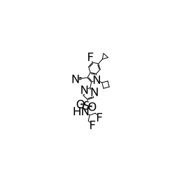 N#Cc1c(-c2ncc(S(=O)(=O)NC(CF)CF)cn2)n(C2CCC2)c2cc(C3CC3)c(F)cc12